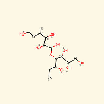 CC(C)CC(O)C(OC(O)C(O)C(O)C(C)CCO)C(O)C(O)CO